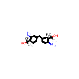 Nc1cc(Cc2ccc(N)c(C(O)(C(F)(F)F)C(F)(F)F)c2)ccc1C(O)(C(F)(F)F)C(F)(F)F